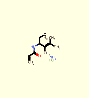 C=CC(=O)NC(CC)C(C)=C(C)C.Cl.N